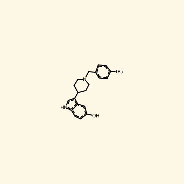 CC(C)(C)c1ccc(CN2CCC(c3c[nH]c4ccc(O)cc34)CC2)cc1